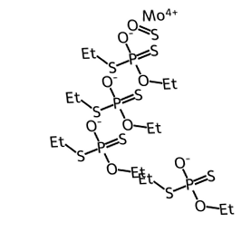 CCOP([O-])(=S)SCC.CCOP([O-])(=S)SCC.CCOP([O-])(=S)SCC.CCOP([O-])(=S)SCC.O=S.[Mo+4]